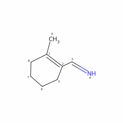 CC1=C(C=N)CCCC1